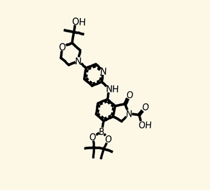 CC(C)(O)C1CN(c2ccc(Nc3ccc(B4OC(C)(C)C(C)(C)O4)c4c3C(=O)N(C(=O)O)C4)nc2)CCO1